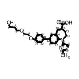 CCCCOCCOc1ccc(-c2ccc3c(c2)C=C(C(=O)O)CCN3c2csc(C)n2)cc1